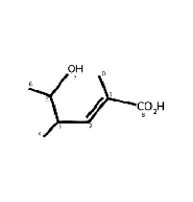 CC(=CC(C)C(C)O)C(=O)O